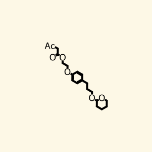 CC(=O)CC(=O)OCCOc1ccc(CCCOC2CCCCO2)cc1